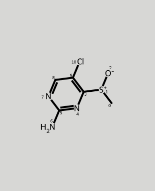 C[S+]([O-])c1nc(N)ncc1Cl